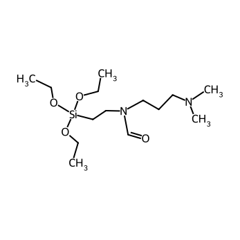 CCO[Si](CCN(C=O)CCCN(C)C)(OCC)OCC